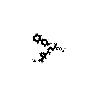 CNC(=O)c1cc(C(=O)N[C@H](Cc2ccc(-c3ccccc3)cc2)C[C@@H](O)C(=O)O)[nH]n1